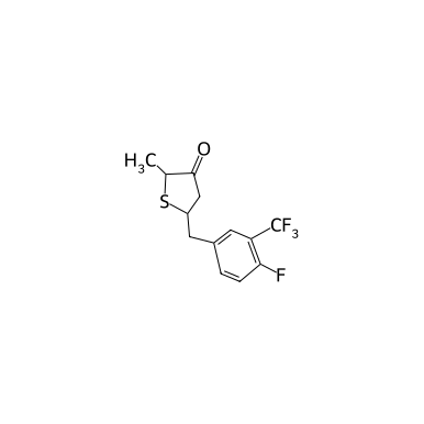 CC1SC(Cc2ccc(F)c(C(F)(F)F)c2)CC1=O